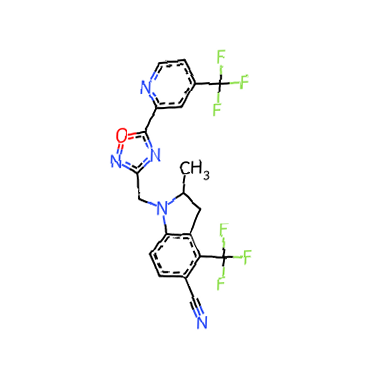 CC1Cc2c(ccc(C#N)c2C(F)(F)F)N1Cc1noc(-c2cc(C(F)(F)F)ccn2)n1